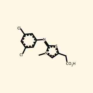 Cn1cc(CC(=O)O)sc1=Nc1cc(Cl)cc(Cl)c1